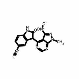 [C-]#[N+]c1ccc2c(c1)C(c1ncnc3c1c([N+](=O)[O-])nn3C)C(=O)N2